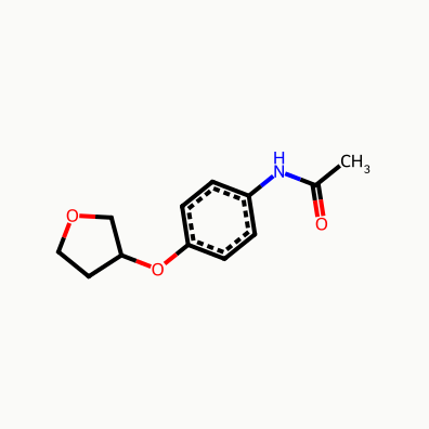 CC(=O)Nc1ccc(OC2CCOC2)cc1